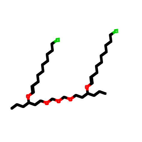 CCCC(CCOCOCOCCC(CCC)OC=CCCCCCCCCCl)OC=CCCCCCCCCCl